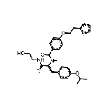 CC(C)Oc1ccc(/C=C(\NC(=O)c2ccc(OCCc3cccs3)cc2)C(=O)NCCO)cc1